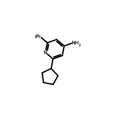 CC(C)c1cc(N)cc(C2CCCC2)n1